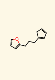 C1=CCC(CCCc2ccco2)=C1